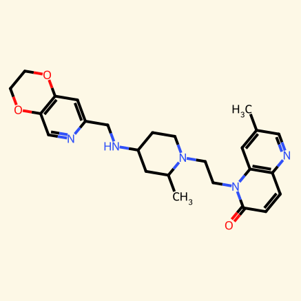 Cc1cnc2ccc(=O)n(CCN3CCC(NCc4cc5c(cn4)OCCO5)CC3C)c2c1